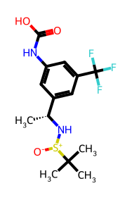 C[C@@H](N[S+]([O-])C(C)(C)C)c1cc(NC(=O)O)cc(C(F)(F)F)c1